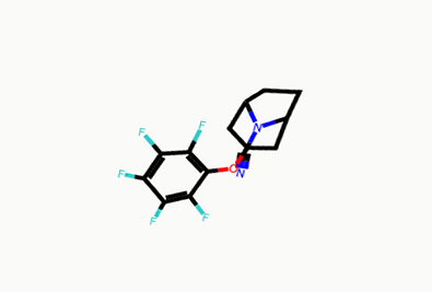 N#CN1C2CCC1CC(Oc1c(F)c(F)c(F)c(F)c1F)C2